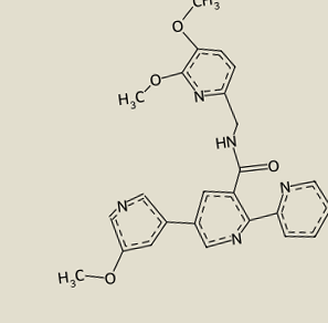 COc1cncc(-c2cnc(-c3ccccn3)c(C(=O)NCc3ccc(OC)c(OC)n3)c2)c1